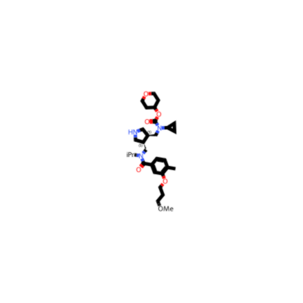 COCCCOc1cc(C(=O)N(C[C@@H]2CNC[C@H]2CN(C(=O)OC2CCOCC2)C2CC2)C(C)C)ccc1C